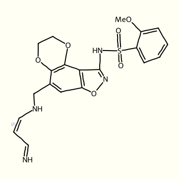 COc1ccccc1S(=O)(=O)Nc1noc2cc(CN/C=C\C=N)c3c(c12)OCCO3